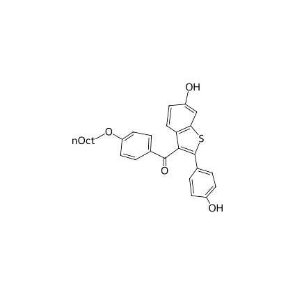 CCCCCCCCOc1ccc(C(=O)c2c(-c3ccc(O)cc3)sc3cc(O)ccc23)cc1